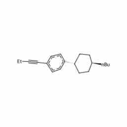 CCC#Cc1ccc([C@H]2CC[C@H](CCCC)CC2)cc1